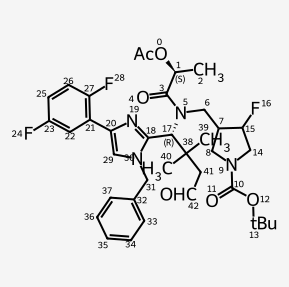 CC(=O)O[C@@H](C)C(=O)N(CC1CN(C(=O)OC(C)(C)C)CC1F)[C@@H](c1nc(-c2cc(F)ccc2F)cn1Cc1ccccc1)C(C)(C)CC=O